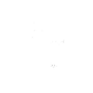 COc1cccc(-c2oc(C)cc2C(=O)O)c1